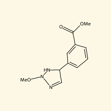 COC(=O)c1cccc(C2C=NN(OC)N2)c1